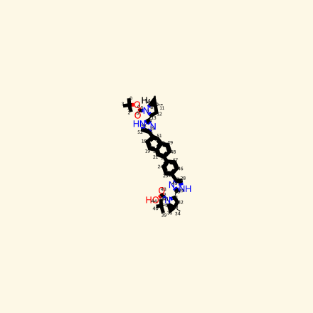 CC(C)(C)OC(=O)N1[C@H]2C[C@@]2(C)C[C@H]1c1nc(-c2ccc3cc(-c4ccc(-c5c[nH]c([C@@H]6C[C@@]7(C)C[C@@]7(C(C)(C)C)N6C(=O)O)n5)cc4)ccc3c2)c[nH]1